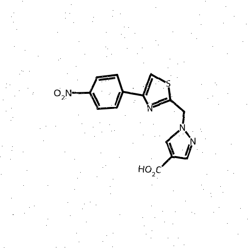 O=C(O)c1cnn(Cc2nc(-c3ccc([N+](=O)[O-])cc3)cs2)c1